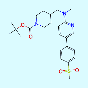 CN(CC1CCN(C(=O)OC(C)(C)C)CC1)c1ccc(-c2ccc(S(C)(=O)=O)cc2)cn1